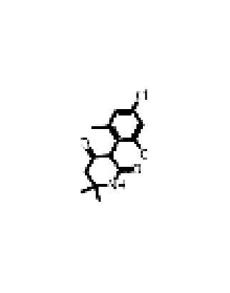 Cc1cc(Cl)cc(Cl)c1C1C(=O)CC(C)(C)NC1=O